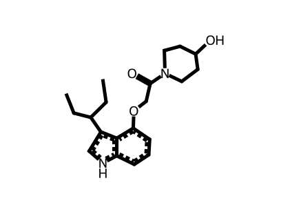 CCC(CC)c1c[nH]c2cccc(OCC(=O)N3CCC(O)CC3)c12